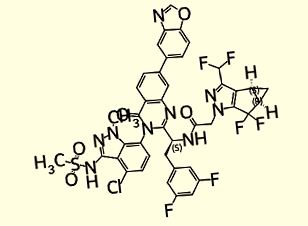 Cn1nc(NS(C)(=O)=O)c2c(Cl)ccc(-n3c([C@H](Cc4cc(F)cc(F)c4)NC(=O)Cn4nc(C(F)F)c5c4C(F)(F)[C@@H]4C[C@H]54)nc4cc(-c5ccc6ocnc6c5)ccc4c3=O)c21